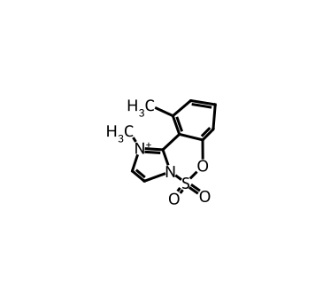 Cc1cccc2c1-c1n(cc[n+]1C)S(=O)(=O)O2